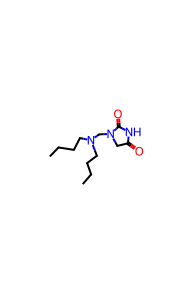 CCCCN(CCCC)CN1CC(=O)NC1=O